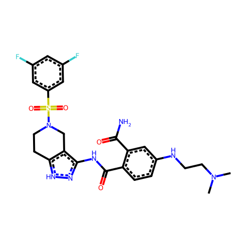 CN(C)CCNc1ccc(C(=O)Nc2n[nH]c3c2CN(S(=O)(=O)c2cc(F)cc(F)c2)CC3)c(C(N)=O)c1